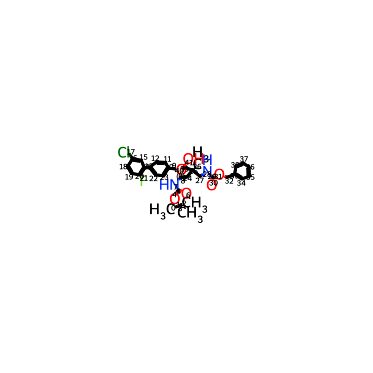 CC(C)(C)OC(=O)N[C@H](Cc1ccc(-c2cc(Cl)ccc2F)cc1)CC(C)(CNC(=O)OCc1ccccc1)C(=O)O